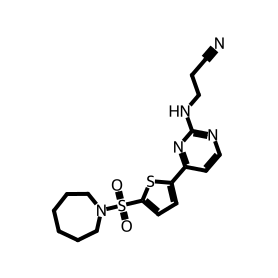 N#CCCNc1nccc(-c2ccc(S(=O)(=O)N3CCCCCC3)s2)n1